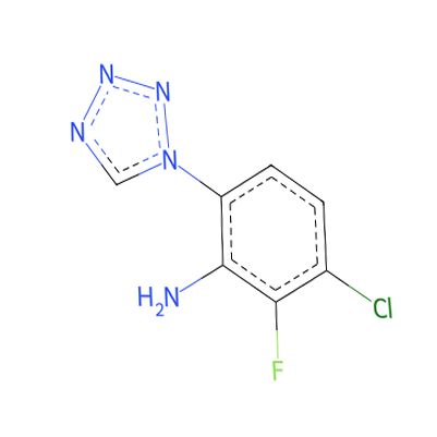 Nc1c(-n2cnnn2)ccc(Cl)c1F